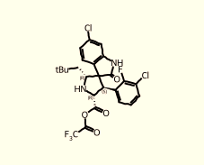 CC(C)(C)C[C@H]1N[C@@H](C(=O)OC(=O)C(F)(F)F)[C@H](c2cccc(Cl)c2F)C12C(=O)Nc1cc(Cl)ccc12